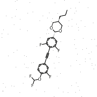 CCC[C@H]1CO[C@H](c2cc(F)c(C#Cc3ccc(OC(F)F)c(F)c3)c(F)c2)OC1